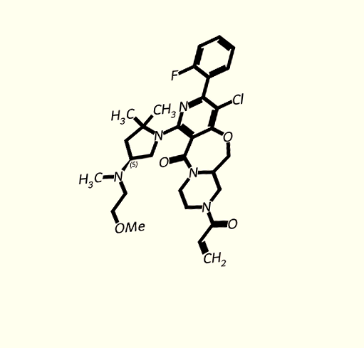 C=CC(=O)N1CCN2C(=O)c3c(N4C[C@@H](N(C)CCOC)CC4(C)C)nc(-c4ccccc4F)c(Cl)c3OCC2C1